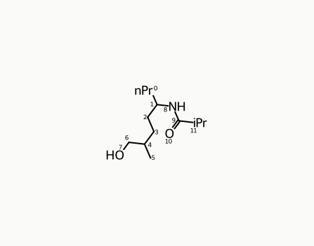 CCCC(CCC(C)CO)NC(=O)C(C)C